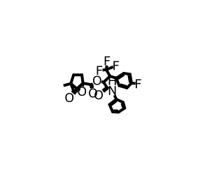 CC12CCC(C(=O)OC(C(=O)Nc3ccccc3)C(c3ccc(F)cc3)C(F)(F)F)(OC1=O)C2(C)C